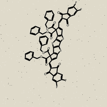 O=C1C(=CC2=Cc3sc4c(sc5c6c(sc54)C=C(C=C4C(=O)c5cc(F)c(F)cc5C4=O)C6(C(=O)OCc4ccccc4)C(=O)OCc4ccccc4)c3C2(C(=O)OCc2ccccc2)C(=O)OCc2ccccc2)C(=O)c2cc(F)c(F)cc21